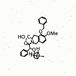 COc1ccc2c(c1OCc1ccccc1)C[C@H](C(=O)O)N(C(=O)[C@@H](O[C@@H]1CC3[C@@H]4[C@H]1[C@]34C)c1ccccc1)C2